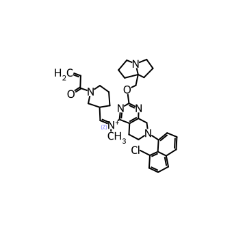 C=CC(=O)N1CCCC(/C=[N+](/C)c2nc(OCC34CCCN3CCC4)nc3c2CCN(c2cccc4cccc(Cl)c24)C3)C1